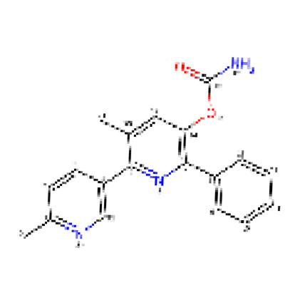 Cc1ccc(-c2nc(-c3ccccc3)c(OC(N)=O)cc2C)cn1